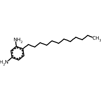 CCCCCCCCCCCCc1ccc(N)cc1N